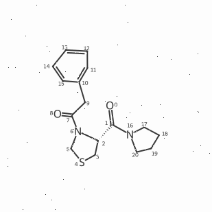 O=C([C@@H]1CSCN1C(=O)Cc1ccccc1)N1CCCC1